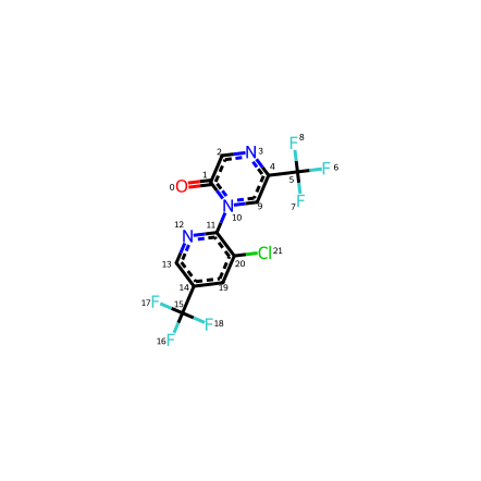 O=c1cnc(C(F)(F)F)cn1-c1ncc(C(F)(F)F)cc1Cl